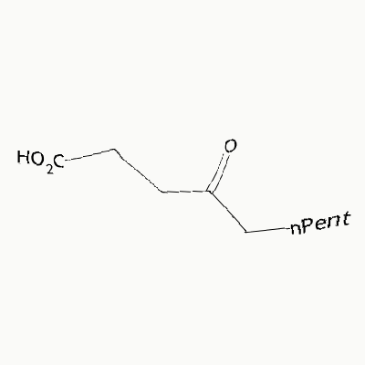 CCCCCCC(=O)CCC(=O)O